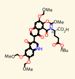 CCCCOC(=O)CC[C@H](NC(=O)c1c(OCOC)c(OCOC)cc2occ(-c3c[nH]c4cc(OCOC)c(OCOC)cc4c3=O)c(=O)c12)C(=O)O